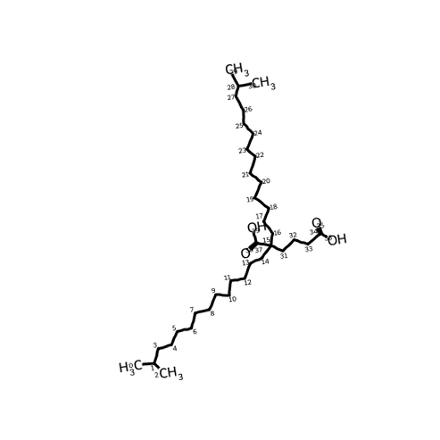 CC(C)CCCCCCCCCCCCC(CCCCCCCCCCCCC(C)C)(CCCC(=O)O)C(=O)O